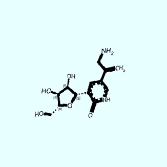 C=C(CN)c1c[nH]c(=O)c([C@@H]2O[C@H](CO)[C@@H](O)[C@H]2O)c1